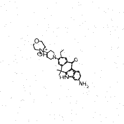 CCc1cc2c(cc1N1CCC([N+]3(O)CCOCC3)CC1)C(C)(C)c1[nH]c3cc(N)ccc3c1C2=O